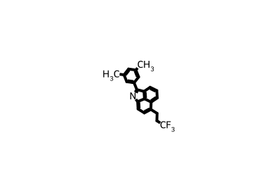 Cc1cc(C)cc(C2=Nc3ccc(CCC(F)(F)F)c4cccc2c34)c1